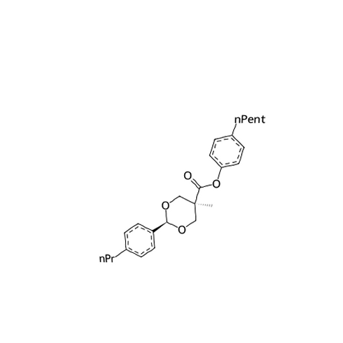 CCCCCc1ccc(OC(=O)[C@]2(C)CO[C@H](c3ccc(CCC)cc3)OC2)cc1